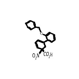 O=C(O)C1([N+](=O)[O-])C=CC=C(c2ccccc2OCc2ccccc2)C1